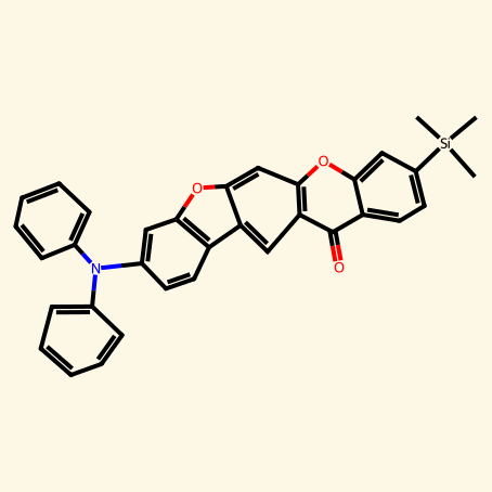 C[Si](C)(C)c1ccc2c(=O)c3cc4c(cc3oc2c1)oc1cc(N(c2ccccc2)c2ccccc2)ccc14